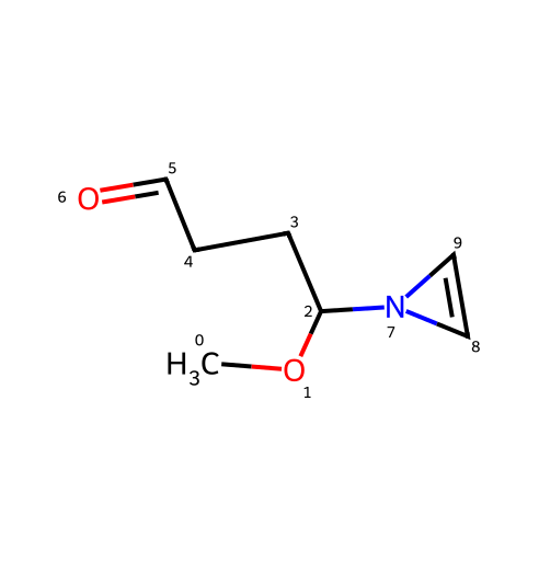 COC(CCC=O)N1C=C1